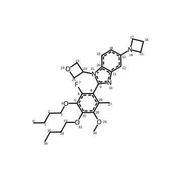 CCCCOc1c(F)c(-c2nc3cc(N4CCC4)ccc3n2C2COC2)c(C)c(OC)c1OCCCC